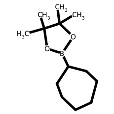 CC1(C)OB(C2CCCCCC2)OC1(C)C